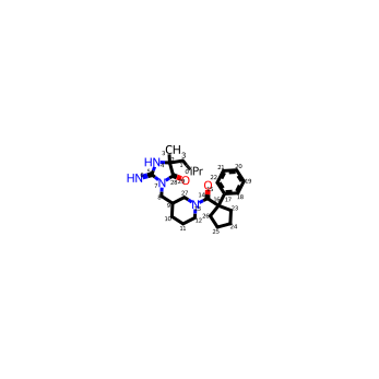 CC(C)CC1(C)NC(=N)N(CC2CCCN(C(=O)C3(c4ccccc4)CCCC3)C2)C1=O